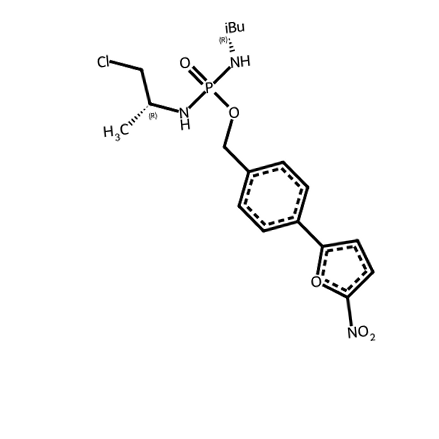 CC[C@@H](C)NP(=O)(N[C@H](C)CCl)OCc1ccc(-c2ccc([N+](=O)[O-])o2)cc1